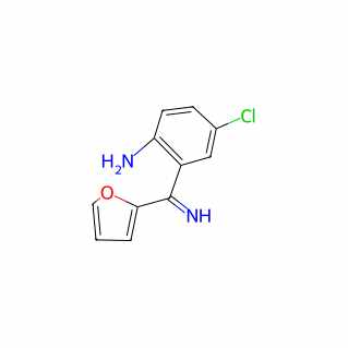 N=C(c1ccco1)c1cc(Cl)ccc1N